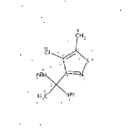 CCCCC(C)(CCC)c1nsc(C)c1Cl